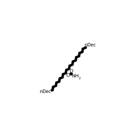 CCCCCCCCCCCCCCCCCCCCC(CCCCCCCCCCCCCCCCCCCC)OC(N)=O